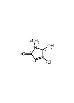 CN1C(=O)C=C(Cl)C1O